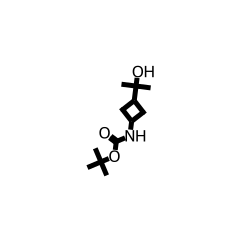 CC(C)(C)OC(=O)NC1CC(C(C)(C)O)C1